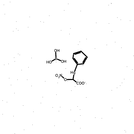 O=C([O-])[CH](O[N+](=O)[O-])[Hg][c]1ccccc1.OB(O)O